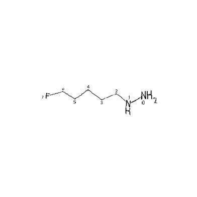 NNCCCCCF